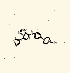 CC(C)N1CCN(c2ccc(Nc3ncc(-c4ccsc4)n4ncnc34)cc2)CC1